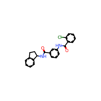 O=C(NC1CCc2ccccc21)c1cccc(NC(=O)c2ccccc2Cl)c1